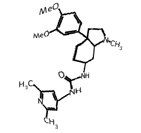 COc1ccc(C23CCC(NC(=O)Nc4cc(C)nc(C)c4)CC2N(C)CC3)cc1OC